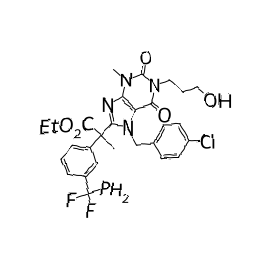 CCOC(=O)C(C)(c1cccc(C(F)(F)P)c1)c1nc2c(c(=O)n(CCCO)c(=O)n2C)n1Cc1ccc(Cl)cc1